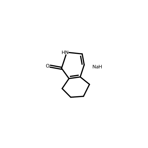 O=c1[nH]ccc2c1CCCC2.[NaH]